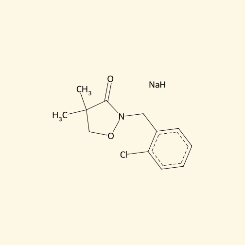 CC1(C)CON(Cc2ccccc2Cl)C1=O.[NaH]